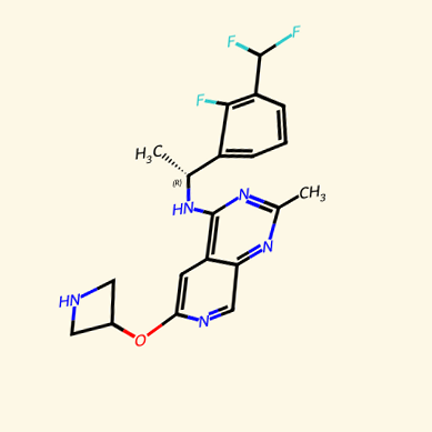 Cc1nc(N[C@H](C)c2cccc(C(F)F)c2F)c2cc(OC3CNC3)ncc2n1